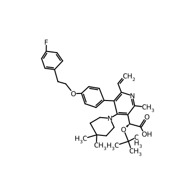 C=Cc1nc(C)c([C@H](OC(C)(C)C)C(=O)O)c(N2CCC(C)(C)CC2)c1-c1ccc(OCCc2ccc(F)cc2)cc1